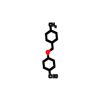 CC1CCC(COC2CCC(C=O)CC2)CC1